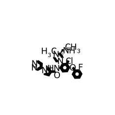 CNC[C@H]1CN(c2c(NC(=O)c3ccn(-c4ccnnc4)n3)ccc(Oc3ccccc3F)c2Cl)CCN1C